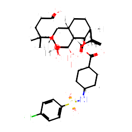 C=C1C(=O)[C@]23[C@H](OC(=O)C4CCC(NS(=O)(=O)c5ccc(Cl)cc5)CC4)[C@H]1CC[C@H]2[C@@]12CO[C@]3(O)[C@@H](O)[C@@H]1C(C)(C)CCC2=O